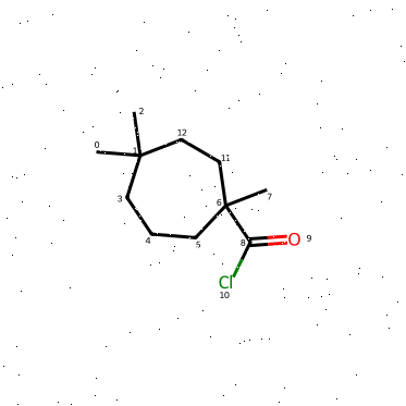 CC1(C)CCCC(C)(C(=O)Cl)CC1